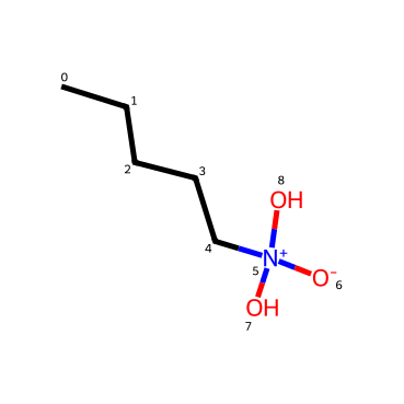 CCCCC[N+]([O-])(O)O